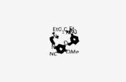 CCOC(=O)N=S(=O)(CC)c1cccc(COc2cc(N=C=CN(C)C)c(C#N)cc2OC)c1